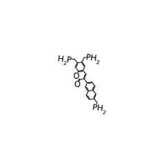 O=c1oc2cc(CP)c(CP)cc2cc1-c1ccc2cc(CP)ccc2c1